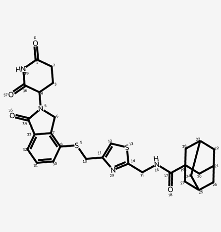 O=C1CCC(N2Cc3c(SCc4csc(CNC(=O)C56CC7CC(CC(C7)C5)C6)n4)cccc3C2=O)C(=O)N1